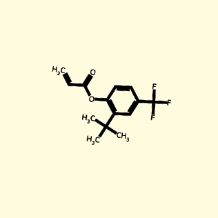 C=CC(=O)Oc1ccc(C(F)(F)F)cc1C(C)(C)C